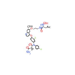 COc1cc2nccc(Oc3ccc(N(C(=O)C4(C(N)=O)CC4)c4ccc(F)cc4)cc3F)c2cc1OCCCNC(=O)C(CC(C)=O)NO